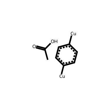 CC(=O)O.[Cu][c]1cc[c]([Cu])cc1